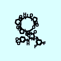 C[C@@H]1NC(=O)[C@@H]2CCCCN2C(=O)[C@@H]2CCCN2C(=O)[C@@H](NC(=O)[C@H](Cc2cc(F)cc(F)c2)NC(=O)Nc2ccc3c(c2)OCO3)COC(=O)[C@@H]2CCCN2C1=O